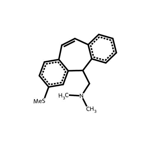 CSc1ccc2c(c1)C(CN(C)C)c1ccccc1C=C2